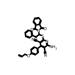 C=CCOc1ccc(-c2c(C#N)c(N)nc(SC(C(=O)c3ccccc3)N3C(=O)c4ccccc4C3=O)c2C#N)cc1